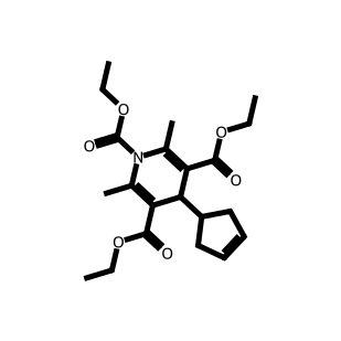 CCOC(=O)C1=C(C)N(C(=O)OCC)C(C)=C(C(=O)OCC)C1C1CC=CC1